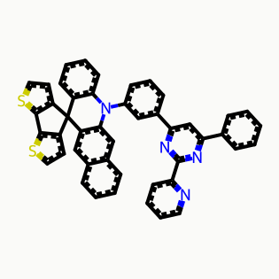 c1ccc(-c2cc(-c3cccc(N4c5ccccc5C5(c6cc7ccccc7cc64)c4ccsc4-c4sccc45)c3)nc(-c3ccccn3)n2)cc1